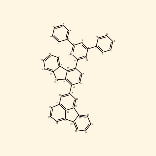 c1ccc(-c2nc(-c3ccccc3)nc(-c3ccc(-c4cc5c6c(cccc6c4)-c4ccccc4-5)c4oc5ncccc5c34)n2)cc1